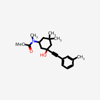 COC(=O)N(C)C1CC(C)(C)CC(O)(C#Cc2cccc(C)c2)C1